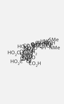 CNC(=O)[C@H](C)NC(=O)[C@H](CSC)NC(=O)CNC(=O)[C@H](CC(C)C)NC(=O)[C@@H]1CCCN1C(=O)COCCNC(=O)[C@@H](CCC(=O)O)NC(=O)[C@@H](CCC(=O)O)NC(=O)[C@@H](CCC(=O)O)NC(=O)[C@@H](CCC(=O)O)NC(=O)[C@H](N)CCC(=O)O